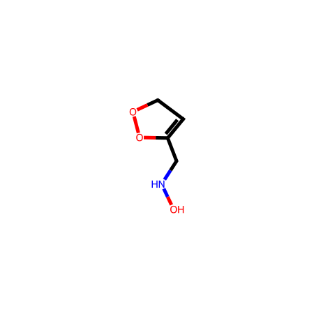 ONCC1=CCOO1